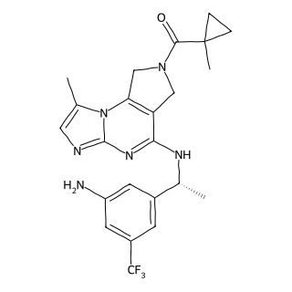 Cc1cnc2nc(N[C@H](C)c3cc(N)cc(C(F)(F)F)c3)c3c(n12)CN(C(=O)C1(C)CC1)C3